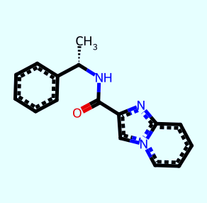 C[C@H](NC(=O)c1cn2ccccc2n1)c1ccccc1